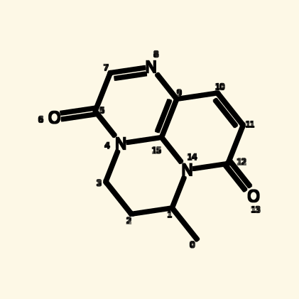 CC1CCn2c(=O)cnc3ccc(=O)n1c32